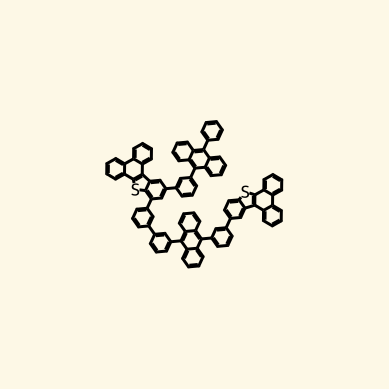 c1ccc(-c2c3ccccc3c(-c3cccc(-c4cc(-c5cccc(-c6cccc(-c7c8ccccc8c(-c8cccc(-c9ccc%10sc%11c%12ccccc%12c%12ccccc%12c%11c%10c9)c8)c8ccccc78)c6)c5)c5sc6c7ccccc7c7ccccc7c6c5c4)c3)c3ccccc23)cc1